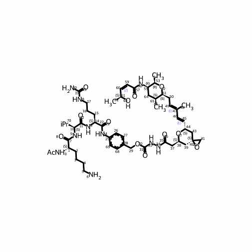 CC(=O)N[C@@H](CCCCN)C(=O)N[C@H](C(=O)N[C@@H](CCCNC(N)=O)C(=O)Nc1ccc(COC(=O)NNC(=O)C[C@@H]2C[C@@]3(CO3)C[C@@H](/C=C/C(C)=C/C[C@@H]3O[C@H](C)[C@H](NC(=O)/C=C\[C@H](C)O)C[C@@H]3C)O2)cc1)C(C)C